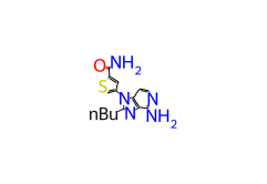 CCCCc1nc2c(N)nccc2n1-c1csc(C(N)=O)c1